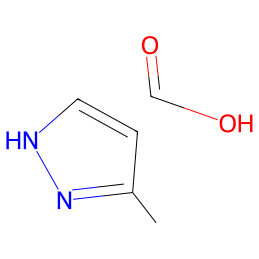 Cc1cc[nH]n1.O=CO